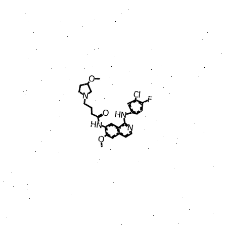 COc1cc2ccnc(Nc3ccc(F)c(Cl)c3)c2cc1NC(=O)CCCN1CCC(OC)C1